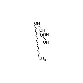 CCCCCCCCCCC(CC(O)CO)C(=O)O.OCCO